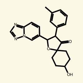 Cc1cccc(C2C(=O)C3(CCC(O)CC3)OC2c2ccc3ncnn3c2)c1